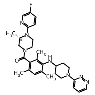 Cc1cc(C)c(C(=O)N2CCN(c3ccc(F)cn3)[C@@H](C)C2)c(C)c1NC1CCN(c2cccnn2)CC1